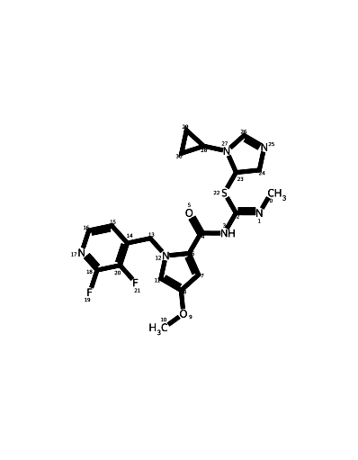 C/N=C(/NC(=O)c1cc(OC)cn1Cc1ccnc(F)c1F)SC1CN=CN1C1CC1